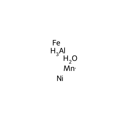 O.[AlH3].[Fe].[Mn].[Ni]